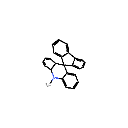 CN1c2ccccc2C2(c3ccccc3-c3ccccc32)C2C=CC=CC21